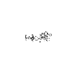 C[C@@]1(O)CCC[C@H]1n1c(=O)ccc2cnc(NC3CCN(S(=O)(=O)N4CC(F)(F)C4)CC3)nc21